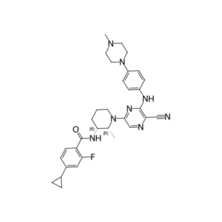 C[C@@H]1[C@H](NC(=O)c2ccc(C3CC3)cc2F)CCCN1c1cnc(C#N)c(Nc2ccc(N3CCN(C)CC3)cc2)n1